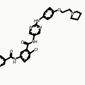 O=C(Nc1ccc(Cl)c(C(=O)Nc2cnc(Nc3ccc(OCCN4CCCC4)cc3)nc2)c1)c1cccc(F)c1